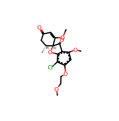 COCCOc1cc(OC)c2c(c1Cl)O[C@]1(C2=O)C(OC)=CC(=O)C[C@H]1C